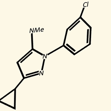 CNc1cc(C2CC2)nn1-c1cccc(Cl)c1